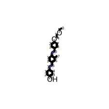 CCOCCOc1ccc(/C=C/c2ccc(/C=C/c3ccc(O)cc3)cc2C)cc1